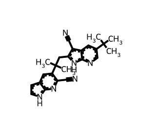 CC(C)(C)c1cnc2[nH]c(CC(C)(C)c3cc4cc[nH]c4nc3C#N)c(C#N)c2c1